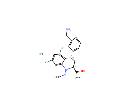 COC(=O)[C@@H]1C[C@@H](c2cccc(CN)c2)c2c(Cl)cc(Cl)cc2N1NC=O.Cl